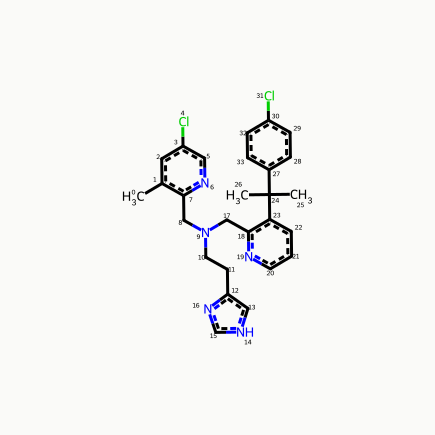 Cc1cc(Cl)cnc1CN(CCc1c[nH]cn1)Cc1ncccc1C(C)(C)c1ccc(Cl)cc1